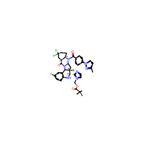 Cc1ccn(-c2ccc(C(=O)N[C@@H]3CCC(F)(F)C[C@@H]3C(=O)N3CC[C@H]4C3c3cc(F)ccc3N[C@H]4c3nccn3COC(=O)C(C)(C)C)cc2)n1